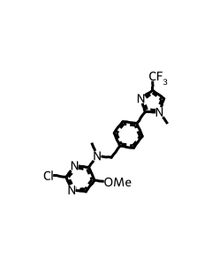 COc1cnc(Cl)nc1N(C)Cc1ccc(-c2nc(C(F)(F)F)cn2C)cc1